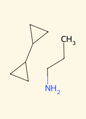 C1CC1C1CC1.CCCN